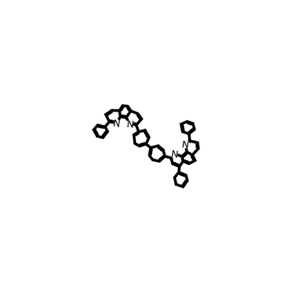 C1=CCCC(c2cc(C3=CCC=C(C4=CCC=C(c5ccc6ccc7ccc(-c8ccccc8)nc7c6n5)C=C4)C=C3)nc3c2ccc2ccc(-c4ccccc4)nc23)=C1